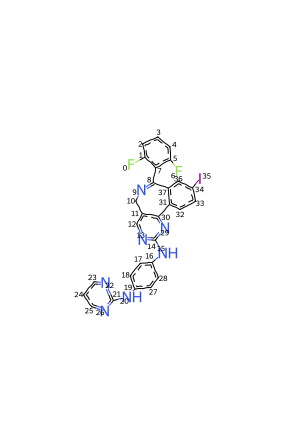 Fc1cccc(F)c1C1=NCc2cnc(Nc3ccc(Nc4ncccn4)cc3)nc2-c2ccc(I)cc21